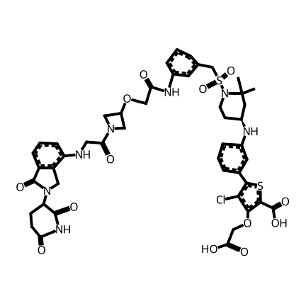 CC1(C)C[C@@H](Nc2cccc(-c3sc(C(=O)O)c(OCC(=O)O)c3Cl)c2)CCN1S(=O)(=O)Cc1cccc(NC(=O)COC2CN(C(=O)CNc3cccc4c3CN(C3CCC(=O)NC3=O)C4=O)C2)c1